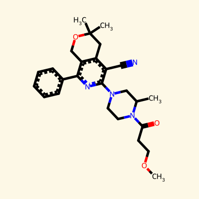 COCCC(=O)N1CCN(c2nc(-c3ccccc3)c3c(c2C#N)CC(C)(C)OC3)CC1C